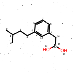 CC(C)CCc1cccc(CB(O)O)c1